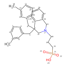 Cc1cccc(CC2(Cc3cccc(C)c3)CN(CCCS(=O)(=O)O)Cc3ccccc32)c1